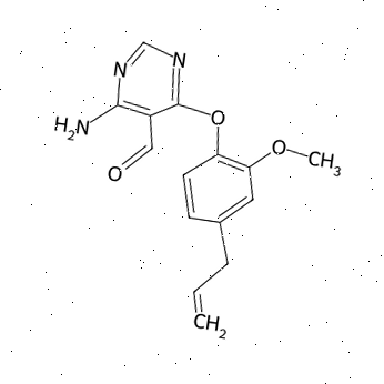 C=CCc1ccc(Oc2ncnc(N)c2C=O)c(OC)c1